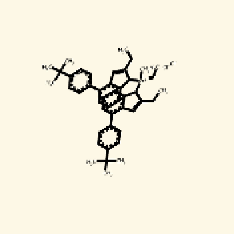 C[CH]=[Zr+2]([CH3])([CH]1C(CC)=Cc2c(-c3ccc(C(C)(C)C)cc3)cccc21)[CH]1C(CC)=Cc2c(-c3ccc(C(C)(C)C)cc3)cccc21.[Cl-].[Cl-]